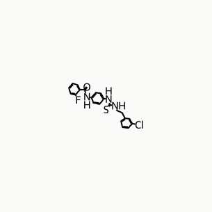 O=C(Nc1ccc(NC(=S)NCCc2cccc(Cl)c2)cc1)c1ccccc1F